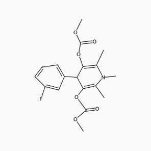 COC(=O)OC1=C(C)N(C)C(C)=C(OC(=O)OC)C1c1cccc(F)c1